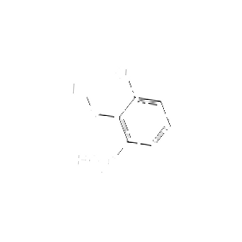 CCSc1c(Cl)cccc1C(=O)O